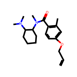 C=CCOc1ccc(C(=O)N(C)C2CCCCC2N(C)C)c(C)c1